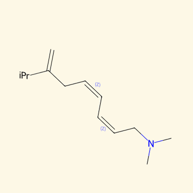 C=C(C/C=C\C=C/CN(C)C)C(C)C